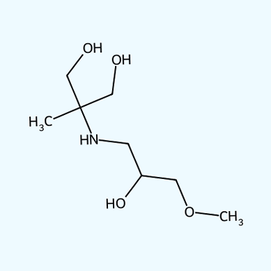 COCC(O)CNC(C)(CO)CO